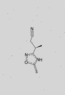 C[C@H](CC#N)c1noc(=S)[nH]1